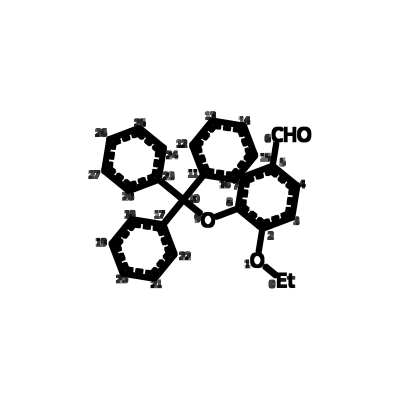 CCOc1ccc(C=O)cc1OC(c1ccccc1)(c1ccccc1)c1ccccc1